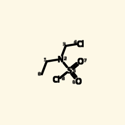 CCN(CCl)S(=O)(=O)Cl